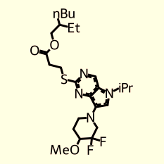 CCCCC(CC)COC(=O)CCSc1ncc2c(n1)c(N1CCC(OC)C(F)(F)C1)cn2C(C)C